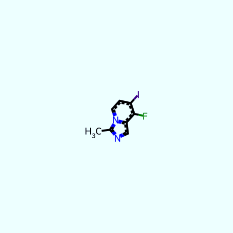 Cc1ncc2c(F)c(I)ccn12